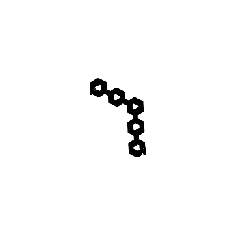 C1=CC(c2cccc(-c3ccc(-c4cccnc4)cc3)c2)CC=C1c1cccnc1